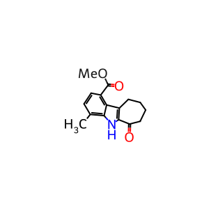 COC(=O)c1ccc(C)c2[nH]c3c(c12)CCCCC3=O